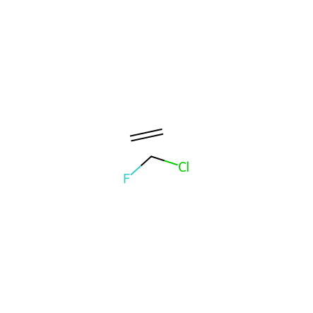 C=C.FCCl